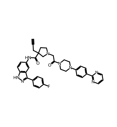 C#CCC1(C(=O)Nc2ccc3[nH]nc(-c4ccc(F)cc4)c3c2)CCN(CC(=O)N2CCN(c3ccc(-c4ncccn4)cc3)CC2)C1